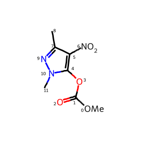 COC(=O)Oc1c([N+](=O)[O-])c(C)nn1C